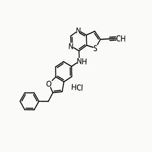 C#Cc1cc2ncnc(Nc3ccc4oc(Cc5ccccc5)cc4c3)c2s1.Cl